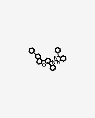 c1ccc(-c2ccc3c(ccc4oc5c(ccc6c5c5ccccc5n6-c5nc(-c6ccccc6)c6ccccc6n5)c43)c2)cc1